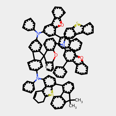 CC1(C)c2ccccc2-c2c(-c3ccc(N(c4ccccc4)c4ccc5c(c4)C4(c6ccccc6Oc6c(N(c7cc(-c8ccccc8)c8c(c7)oc7ccccc78)c7ccc8sc9ccccc9c8c7)cccc64)c4cc(N(c6ccccc6)c6cc(-c7ccc8ccccc8c7)c7oc8ccccc8c7c6)ccc4-5)c4c5c(sc34)CCC=C5)cccc21